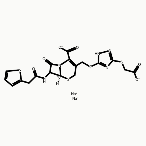 O=C([O-])CSc1n[nH]c(SCC2=C(C(=O)[O-])N3C(=O)C(NC(=O)Cc4cccs4)[C@@H]3SC2)n1.[Na+].[Na+]